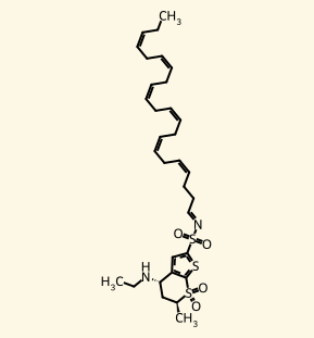 CC/C=C\C/C=C\C/C=C\C/C=C\C/C=C\C/C=C\CC/C=N/S(=O)(=O)c1cc2c(s1)S(=O)(=O)[C@@H](C)C[C@@H]2NCC